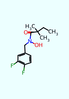 CCC(C)(C)C(=O)N(O)Cc1ccc(F)c(F)c1